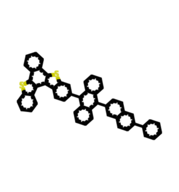 c1ccc(-c2ccc3cc(-c4c5ccccc5c(-c5ccc6c(c5)sc5c7ccccc7c7sc8ccccc8c7c65)c5ccccc45)ccc3c2)cc1